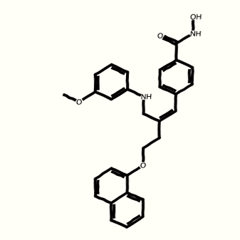 COc1cccc(NC/C(=C\c2ccc(C(=O)NO)cc2)CCOc2cccc3ccccc23)c1